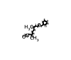 CC(=CCOCc1ccccc1)CCC=C(C)COC=O